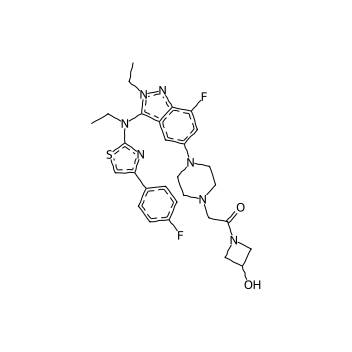 CCN(c1nc(-c2ccc(F)cc2)cs1)c1c2cc(N3CCN(CC(=O)N4CC(O)C4)CC3)cc(F)c2nn1CC